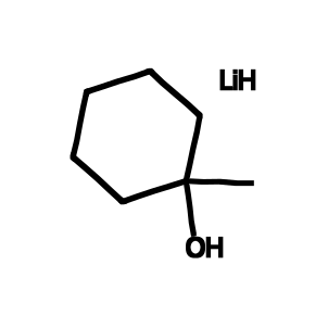 CC1(O)CCCCC1.[LiH]